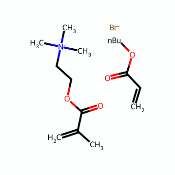 C=C(C)C(=O)OCC[N+](C)(C)C.C=CC(=O)OCCCC.[Br-]